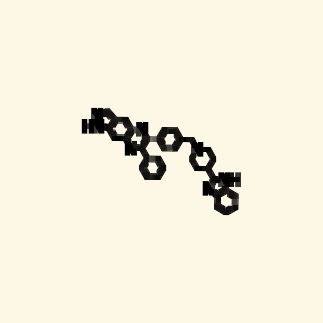 c1ccc(-c2nc3cc4[nH]ncc4cc3nc2-c2ccc(CN3CCC(c4nc5ccccc5[nH]4)CC3)cc2)cc1